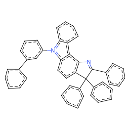 c1ccc(C2=Nc3c(ccc4c3c3ccccc3n4-c3cccc(-c4ccccc4)c3)C2(c2ccccc2)c2ccccc2)cc1